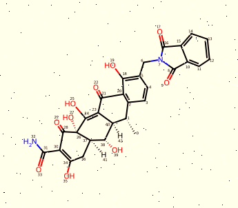 C[C@H]1c2ccc(CN3C(=O)c4ccccc4C3=O)c(O)c2C(=O)C2=C(O)[C@]3(O)C(=O)C(C(N)=O)=C(O)C[C@@H]3[C@@H](O)[C@@H]21